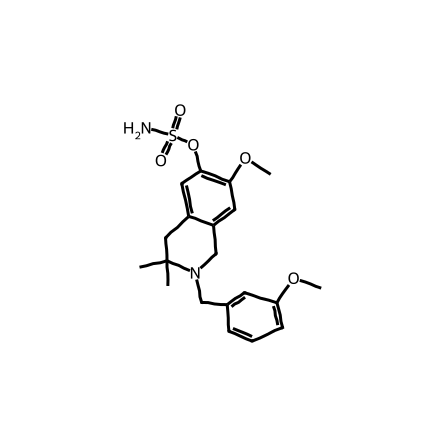 COc1cccc(CN2Cc3cc(OC)c(OS(N)(=O)=O)cc3CC2(C)C)c1